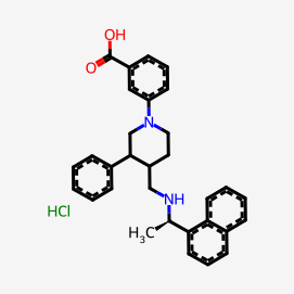 C[C@@H](NCC1CCN(c2cccc(C(=O)O)c2)CC1c1ccccc1)c1cccc2ccccc12.Cl